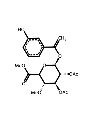 C=C(O[C@@H]1O[C@H](C(=O)OC)[C@@H](OC)[C@H](OC(C)=O)[C@H]1OC(C)=O)c1cccc(O)c1